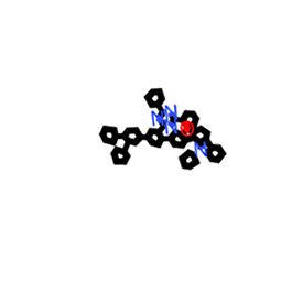 c1ccc(-c2nc(-c3ccccc3)nc(-c3cc(-c4ccc(-c5ccccc5)c(-c5ccccc5)c4)ccc3-c3ccc4c(c3)oc3ccc5c6ccccc6n(-c6ccccc6)c5c34)n2)cc1